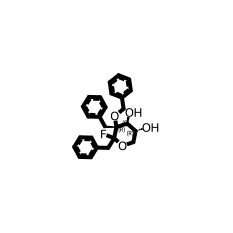 O[C@@H]1COC(F)(Cc2ccccc2)[C@](Cc2ccccc2)(OCc2ccccc2)[C@H]1O